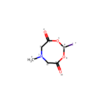 CN1CC(=O)OB(I)OC(=O)C1